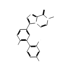 Cn1ccn2c(-c3ccc(F)c(-c4ccc(F)cc4C#N)c3)cnc2c1=O